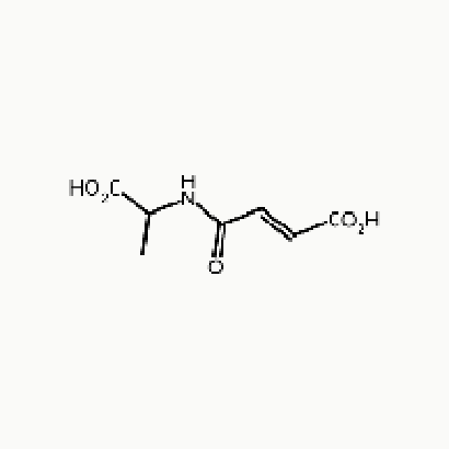 CC(NC(=O)C=CC(=O)O)C(=O)O